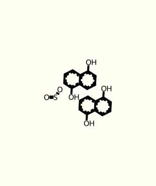 O=S=O.Oc1cccc2c(O)cccc12.Oc1cccc2c(O)cccc12